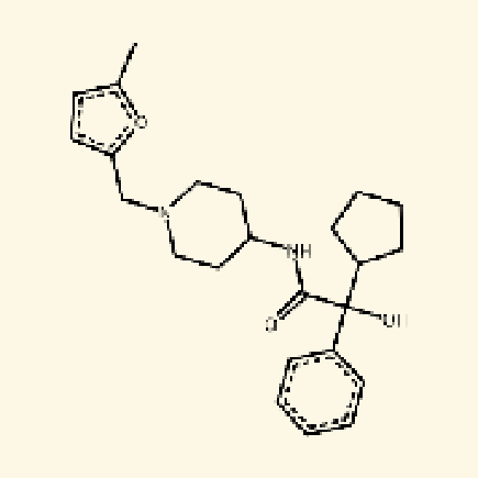 Cc1ccc(CN2CCC(NC(=O)C(O)(c3ccccc3)C3CCCC3)CC2)o1